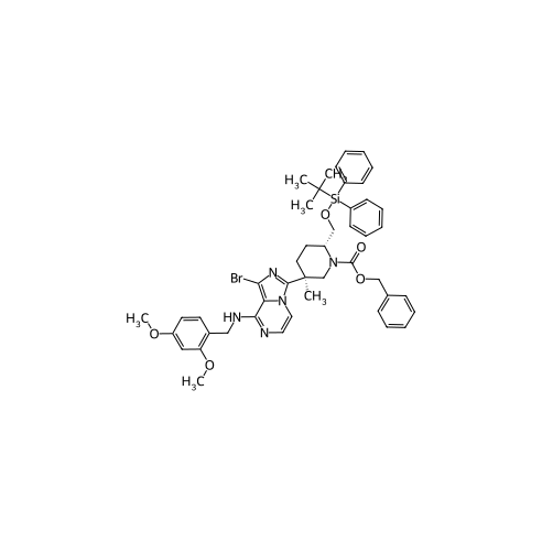 COc1ccc(CNc2nccn3c([C@@]4(C)CC[C@H](CO[Si](c5ccccc5)(c5ccccc5)C(C)(C)C)N(C(=O)OCc5ccccc5)C4)nc(Br)c23)c(OC)c1